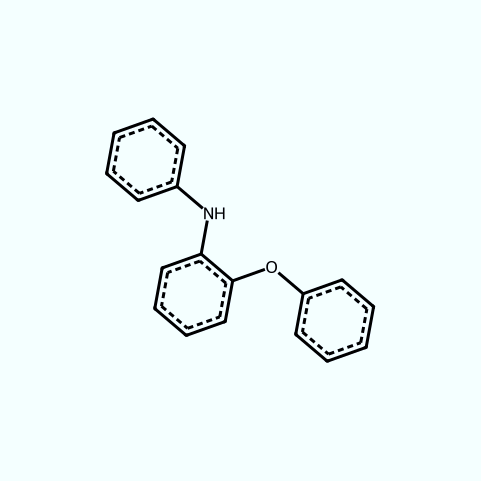 c1ccc(Nc2ccccc2Oc2ccccc2)cc1